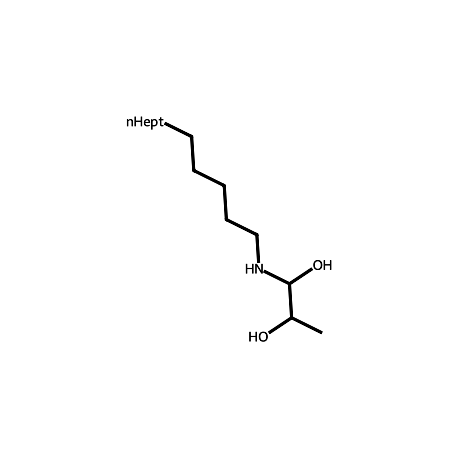 CCCCCCCCCCCCNC(O)C(C)O